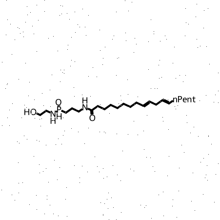 CCCCCC=CCC=CCCCCCCCC(=O)NCCC[PH](=O)NCCO